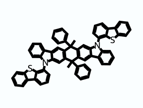 CC1(c2ccccc2)c2cc3c4ccccc4n(-c4cccc5c4sc4ccccc45)c3cc2C(C)(c2ccccc2)c2cc3c4ccccc4n(-c4cccc5c4sc4ccccc45)c3cc21